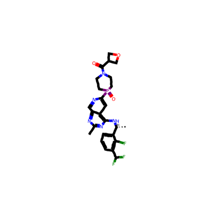 Cc1nc(N[C@H](C)c2cccc(C(F)F)c2F)c2cc(P3(=O)CCN(C(=O)C4COC4)CC3)ncc2n1